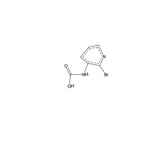 O=C(O)Nc1cccnc1Br